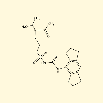 CC(=O)N(CCCS(=O)(=O)NC(=O)Nc1c2c(cc3c1CCC3)CCC2)C(C)C